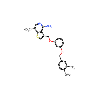 COc1ccc(COc2cccc(OCc3csc4c(C(=O)O)cnc(N)c34)c2)cc1C(F)(F)F